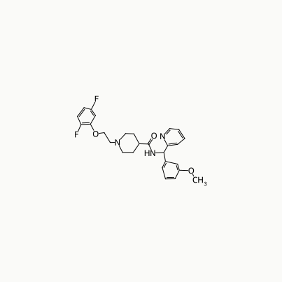 COc1cccc(C(NC(=O)C2CCN(CCOc3cc(F)ccc3F)CC2)c2ccccn2)c1